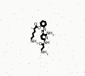 C[C@@H](CCCCN)C(=O)Oc1ccccc1/N=N/c1ccc(NC(=O)CCN)nc1N